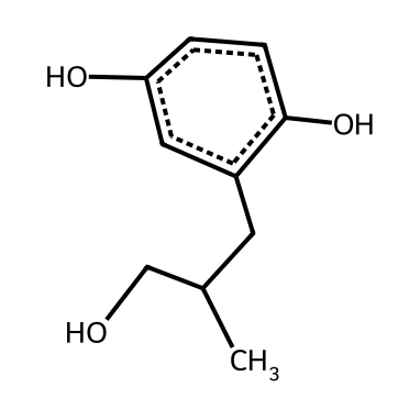 CC(CO)Cc1cc(O)ccc1O